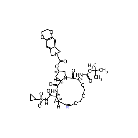 CC(C)(C)OC(=O)N[C@H]1CCCCC/C=C\[C@@H]2C[C@@]2(C(=O)NS(=O)(=O)C2CC2)NC(=O)[C@@H]2C[C@@H](OC(=O)N3Cc4cc5c(cc4C3)OCCO5)CN2C1=O